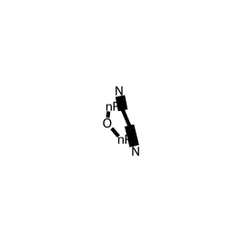 CCCOCCC.N#CC#N